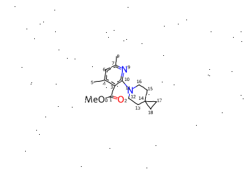 COC(=O)c1c(C)cc(C)nc1N1CCC2(CC1)CC2